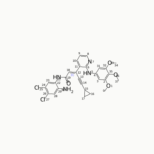 COc1cc(Nc2ncccc2/C(C#CC2CC2)=C/C(=O)Nc2cc(Cl)c(Cl)cc2N)cc(OC)c1OC